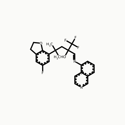 CC(C)(CC(O)(C=Nc1cccc2cnccc12)C(F)(F)F)c1cc(F)cc2c1OCC2